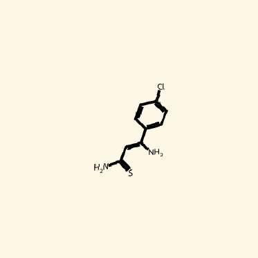 NC(=S)C=C(N)c1ccc(Cl)cc1